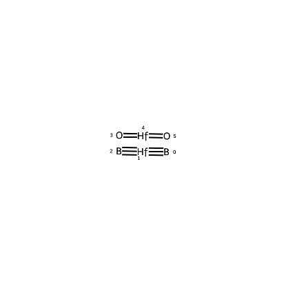 [B]#[Hf]#[B].[O]=[Hf]=[O]